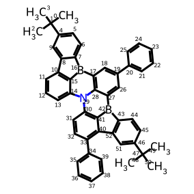 CC(C)(C)c1ccc2c(c1)-c1cccc3c1B2c1cc(-c2ccccc2)cc2c1N3c1ccc(-c3ccccc3)c3c1B2c1ccc(C(C)(C)C)cc1-3